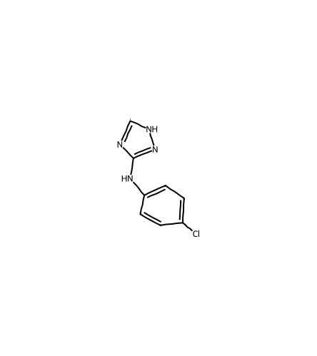 Clc1ccc(Nc2n[c][nH]n2)cc1